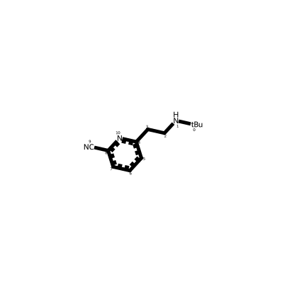 CC(C)(C)NCCc1cccc(C#N)n1